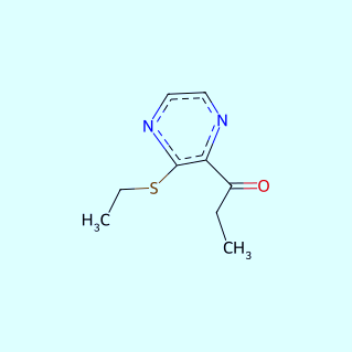 CCSc1nccnc1C(=O)CC